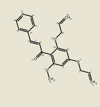 C=CCOc1cc(OC)c(C(=O)/C=C/c2ccncc2)c(OCC=C)c1